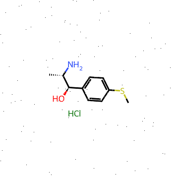 CSc1ccc([C@@H](O)[C@H](C)N)cc1.Cl